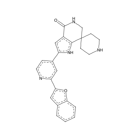 O=C1NCC2(CCNCC2)c2[nH]c(-c3ccnc(-c4cc5ccccc5o4)c3)cc21